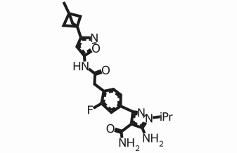 CC(C)n1nc(-c2ccc(CC(=O)Nc3cc(C45CC(C)(C4)C5)no3)c(F)c2)c(C(N)=O)c1N